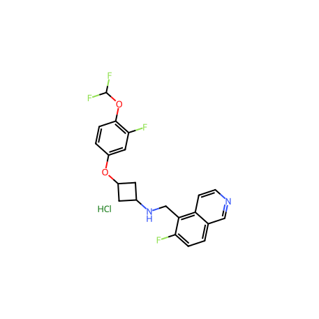 Cl.Fc1cc(OC2CC(NCc3c(F)ccc4cnccc34)C2)ccc1OC(F)F